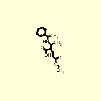 CCOC(=O)C=CC(C(=O)O)=C(C)NC(C)c1ccccc1